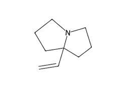 C=CC12CCCN1CCC2